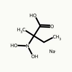 CCC(C)(C(=O)O)N(O)O.[Na]